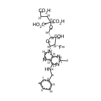 Cc1nc(NCc2ccccc2)c2ncn([C@@H]3O[C@H](COC(CCC(=O)O)(C(=O)O)C(=O)O)[C@@H](O)[C@@H]3F)c2n1